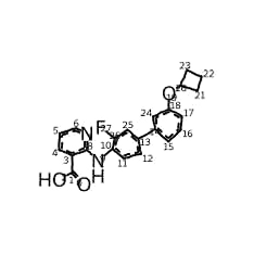 O=C(O)c1cccnc1Nc1ccc(-c2cccc(OC3CCC3)c2)cc1F